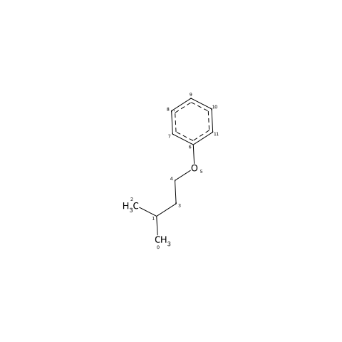 CC(C)CCOc1c[c]ccc1